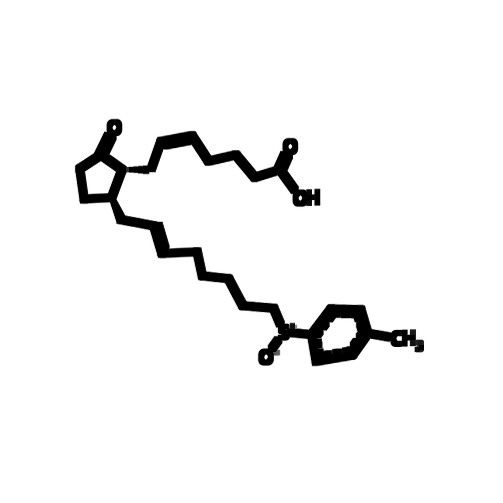 Cc1ccc([S+]([O-])CCCCC/C=C/C[C@H]2CCC(=O)[C@@H]2C/C=C\CCCC(=O)O)cc1